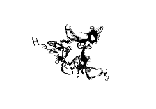 Cc1cc(CSc2ccccc2C(=O)NCCN(C)C2=NC(C(F)(F)F)CS2)on1